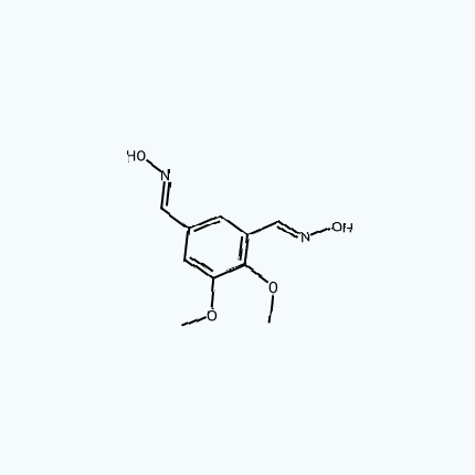 COc1cc(C=NO)cc(C=NO)c1OC